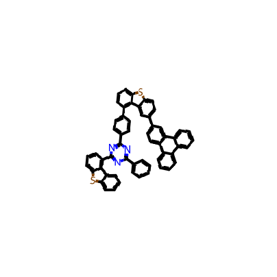 c1ccc(-c2nc(-c3ccc(-c4cccc5sc6ccc(-c7ccc8c9ccccc9c9ccccc9c8c7)cc6c45)cc3)nc(-c3cccc4sc5ccccc5c34)n2)cc1